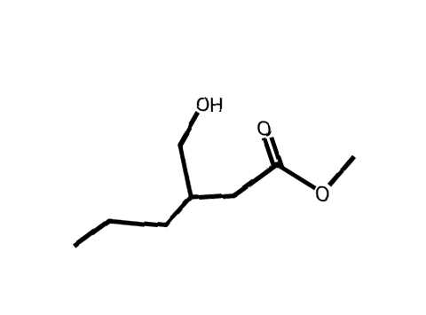 CCCC(CO)CC(=O)OC